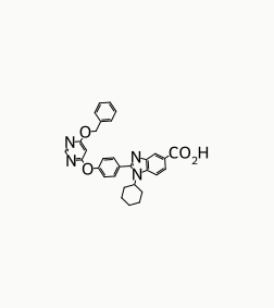 O=C(O)c1ccc2c(c1)nc(-c1ccc(Oc3cc(OCc4ccccc4)ncn3)cc1)n2C1CCCCC1